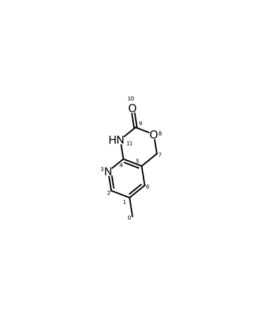 Cc1cnc2c(c1)COC(=O)N2